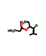 CC(C)=C(Br)C(CC(Cl)(Cl)Cl)OC(=O)CC(=O)O